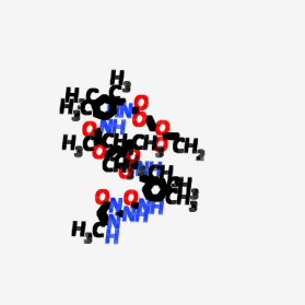 C=CC(=O)OCCOC(=O)NCC1(C)CC(NC(=O)C(C)(C)OC(C)CC(C)(CC)OC(=O)NCC2(C)CC(NC(=O)Nc3nc(=O)cc(C)[nH]3)CC(C)(C)C2)CC(C)(C)C1